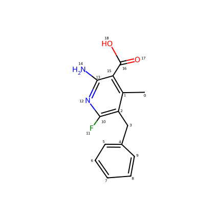 Cc1c(Cc2ccccc2)c(F)nc(N)c1C(=O)O